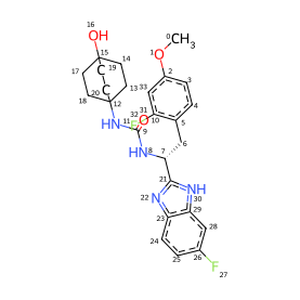 COc1ccc(C[C@@H](NC(=O)NC23CCC(O)(CC2)CC3)c2nc3ccc(F)cc3[nH]2)c(F)c1